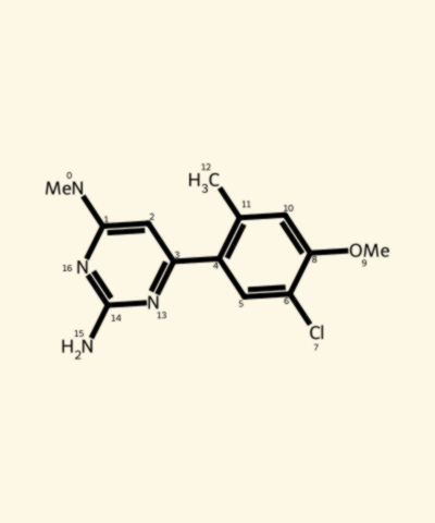 CNc1cc(-c2cc(Cl)c(OC)cc2C)nc(N)n1